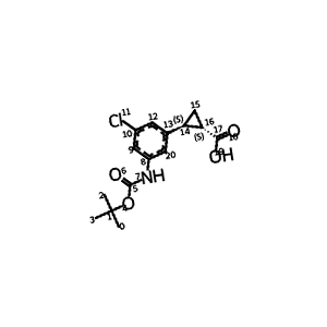 CC(C)(C)OC(=O)Nc1cc(Cl)cc([C@H]2C[C@@H]2C(=O)O)c1